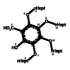 CCCCCCCOc1c(O)c(C(=O)O)c(OCCCCCCC)c(OCCCCCCC)c1OCCCCCCC